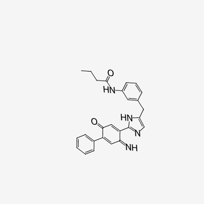 CCCC(=O)Nc1cccc(Cc2cnc(C3=CC(=O)C(c4ccccc4)=CC3=N)[nH]2)c1